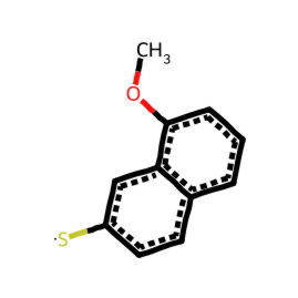 COc1cccc2ccc([S])cc12